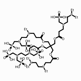 CCN(CC)CCN(CC)CCC(=O)OCC(COC(=O)CCN(CC)CCN(CP(=O)(O)O)CP(=O)(O)O)(COC(=O)CCN(CCN(CC)CC)CP(=O)(O)O)COC(=O)CCN(CCN(CP(=O)(O)O)CP(=O)(O)O)CP(=O)(O)O